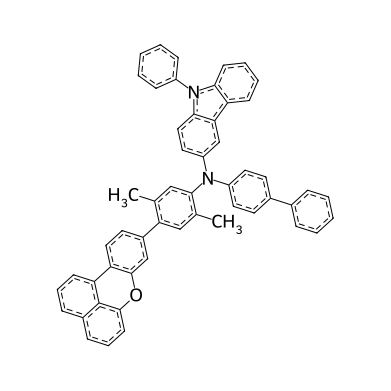 Cc1cc(N(c2ccc(-c3ccccc3)cc2)c2ccc3c(c2)c2ccccc2n3-c2ccccc2)c(C)cc1-c1ccc2c(c1)Oc1cccc3cccc-2c13